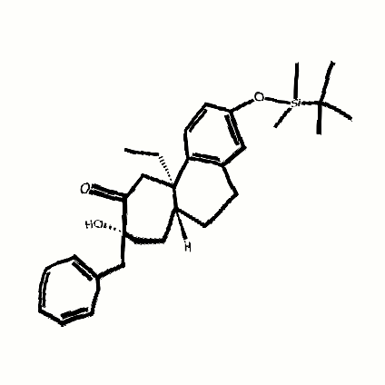 CC[C@@]12CC(=O)[C@](O)(Cc3ccccc3)C[C@H]1CCc1cc(O[Si](C)(C)C(C)(C)C)ccc12